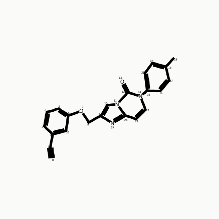 C#Cc1cccc(OCc2cn3c(=O)n(-c4ccc(C)cc4)ccc3n2)c1